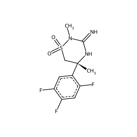 CN1C(=N)N[C@](C)(c2cc(F)c(F)cc2F)CS1(=O)=O